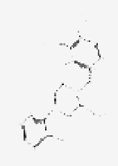 CCCC1CN(c2ccccc2S(=O)(=O)O)CCN1Cc1ccc(OC)c(OC)c1OC